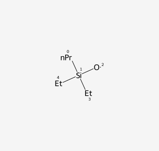 CCC[Si]([O])(CC)CC